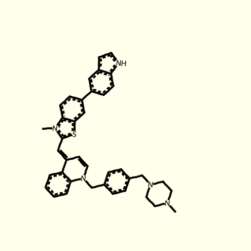 CN1CCN(Cc2ccc(CN3C=CC(=Cc4sc5cc(-c6ccc7[nH]ccc7c6)ccc5[n+]4C)c4ccccc43)cc2)CC1